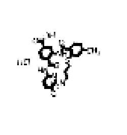 Cc1ccc(C(=O)Nc2cc(C(=O)O)ccc2C(=O)Nc2ccc(Cl)cn2)c(SCCCN)c1.Cl